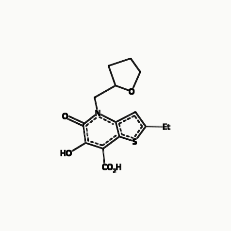 CCc1cc2c(s1)c(C(=O)O)c(O)c(=O)n2CC1CCCO1